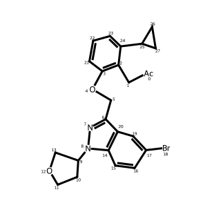 CC(=O)Cc1c(OCc2nn(C3CCOC3)c3ccc(Br)cc23)cccc1C1CC1